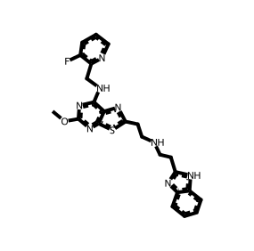 COc1nc(NCc2ncccc2F)c2nc(CCNCCc3nc4ccccc4[nH]3)sc2n1